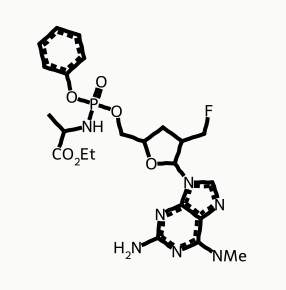 CCOC(=O)C(C)NP(=O)(OCC1CC(CF)C(n2cnc3c(NC)nc(N)nc32)O1)Oc1ccccc1